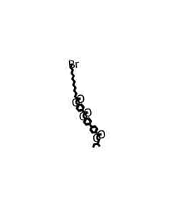 CCC(C)COC(=O)c1ccc(-c2ccc(OC(=O)c3ccc(OC(=O)CCCCCCCCCCCBr)cc3)cc2)cc1